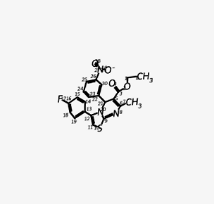 CCOC(=O)C1=C(C)N=C2SC=C(c3ccc(F)cc3)N2C1c1cccc([N+](=O)[O-])c1